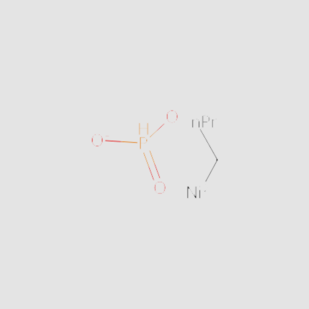 CCC[CH2][Ni+2].O=[PH]([O-])[O-]